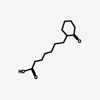 O=C(O)CCCCCCC1CCCCC1=O